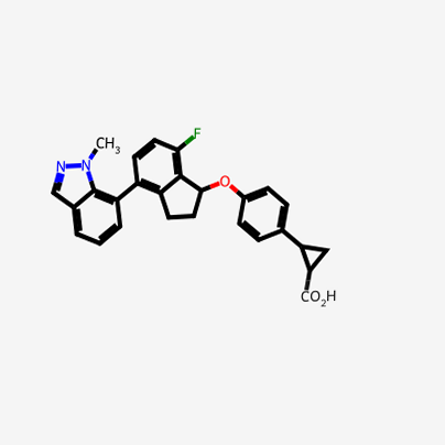 Cn1ncc2cccc(-c3ccc(F)c4c3CCC4Oc3ccc(C4CC4C(=O)O)cc3)c21